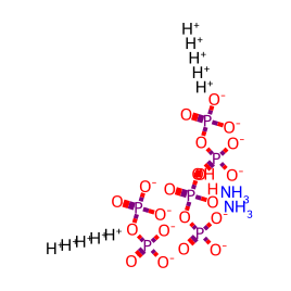 N.N.O=P([O-])([O-])OP(=O)(O)O.O=P([O-])([O-])OP(=O)([O-])[O-].O=P([O-])([O-])OP(=O)([O-])[O-].[H+].[H+].[H+].[H+].[H+].[H+].[H+].[H+].[H+].[H+]